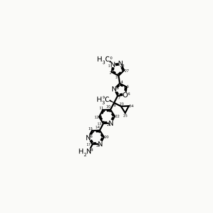 Cn1cc(-c2coc([C@@](C)(c3ccc(-c4cnc(N)nc4)nc3)C3CC3)n2)cn1